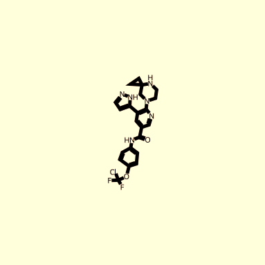 O=C(Nc1ccc(OC(F)(F)Cl)cc1)c1cnc(N2CCNC3(CC3)C2)c(-c2ccn[nH]2)c1